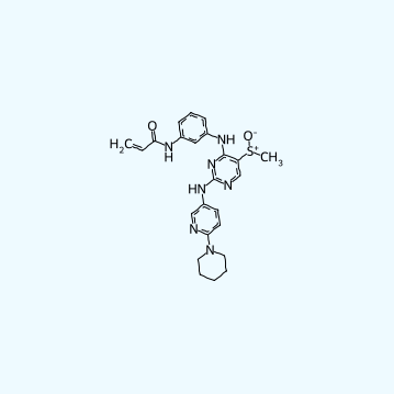 C=CC(=O)Nc1cccc(Nc2nc(Nc3ccc(N4CCCCC4)nc3)ncc2[S+](C)[O-])c1